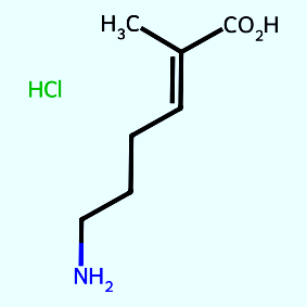 CC(=CCCCN)C(=O)O.Cl